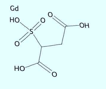 O=C(O)CC(C(=O)O)S(=O)(=O)O.[Gd]